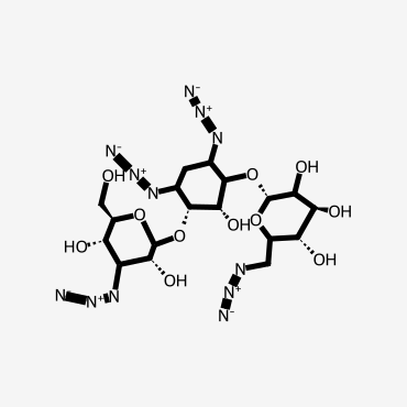 [N-]=[N+]=NCC1O[C@H](OC2C(N=[N+]=[N-])CC(N=[N+]=[N-])[C@@H](OC3O[C@H](CO)[C@@H](O)C(N=[N+]=[N-])[C@H]3O)[C@H]2O)C(O)[C@@H](O)[C@@H]1O